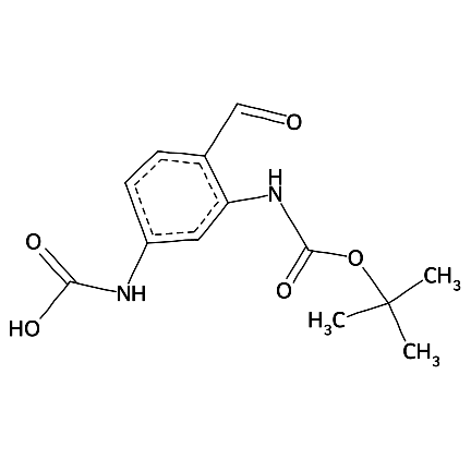 CC(C)(C)OC(=O)Nc1cc(NC(=O)O)ccc1C=O